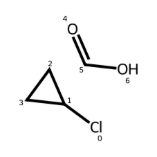 ClC1CC1.O=CO